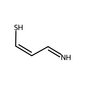 N=C/C=C\S